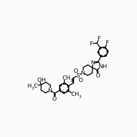 Cc1cc(C(=O)N2CCC(C)(O)CC2)cc(C)c1C=CS(=O)(=O)N1CCC2(CC1)N=C(c1ccc(F)c(C(F)F)c1)NC2=O